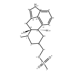 CN1CC(COS(C)(=O)=O)C[C@@H]2c3cccc4[nH]cc(c34)C[C@H]21